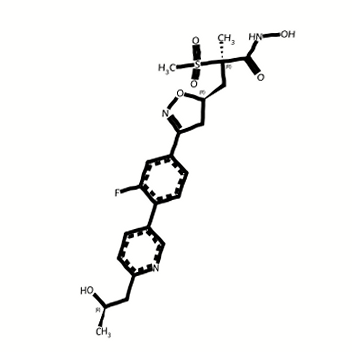 C[C@@H](O)Cc1ccc(-c2ccc(C3=NO[C@@H](C[C@](C)(C(=O)NO)S(C)(=O)=O)C3)cc2F)cn1